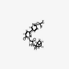 O=C(Cn1nc(-c2ccc(OC(F)F)nc2)ccc1=O)N[C@@H]1CCC2CC1C2